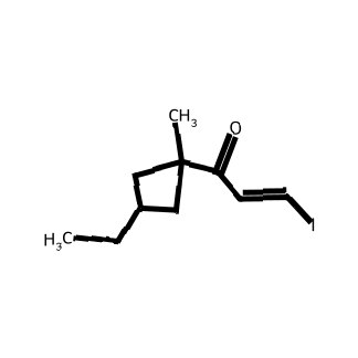 CCC1CC(C)(C(=O)C=CI)C1